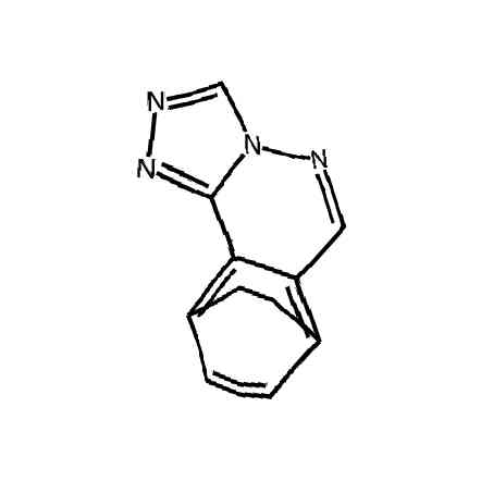 c1cc2c3c(cnn4cnnc34)c1CC2